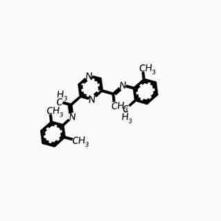 CC(=Nc1c(C)cccc1C)c1cncc(C(C)=Nc2c(C)cccc2C)n1